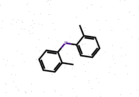 Cc1ccccc1[I+]c1ccccc1C